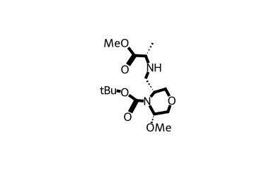 COC(=O)[C@H](C)NC[C@@H]1COC[C@H](OC)N1C(=O)OC(C)(C)C